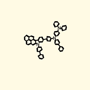 c1ccc(-c2ccc(N(c3ccc(-c4ccc5c6c7ccc8cccc9ccc(cc6n(-c6ccc(-c%10ccccc%10)cc6)c5c4)c7c98)cc3)c3ccc(N(c4ccccc4)c4ccccc4)cc3)cc2)cc1